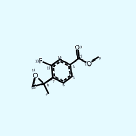 COC(=O)c1ccc(C2(C)CO2)c(F)c1